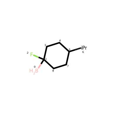 BC1(F)CCC(C(C)C)CC1